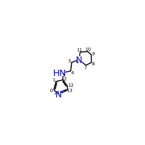 c1cc(NCCN2CCCCC2)ccn1